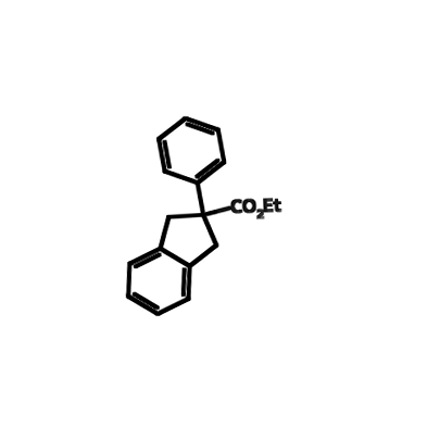 CCOC(=O)C1(c2ccccc2)Cc2ccccc2C1